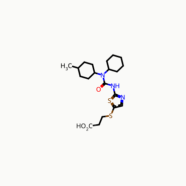 CC1CCC(N(C(=O)Nc2ncc(SCCC(=O)O)s2)C2CCCCC2)CC1